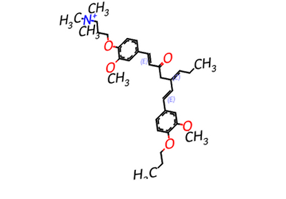 CC/C=C(\C=C\c1ccc(OCCC)c(OC)c1)CC(=O)/C=C/c1ccc(OCCC[N+](C)(C)C)c(OC)c1